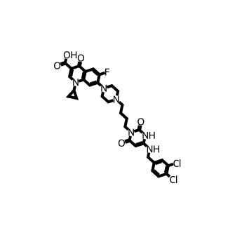 O=C(O)c1cn(C2CC2)c2cc(N3CCN(CCCCn4c(=O)cc(NCc5ccc(Cl)c(Cl)c5)[nH]c4=O)CC3)c(F)cc2c1=O